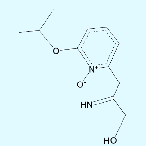 CC(C)Oc1cccc(CC(=N)CO)[n+]1[O-]